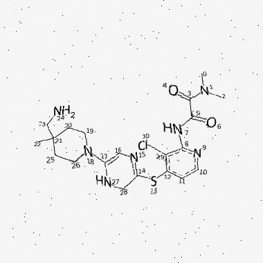 CN(C)C(=O)C(=O)Nc1nccc(SC2=NC=C(N3CCC(C)(CN)CC3)NC2)c1Cl